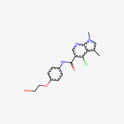 Cc1cn(C)c2ncc(C(=O)Nc3ccc(OCCO)cc3)c(Cl)c12